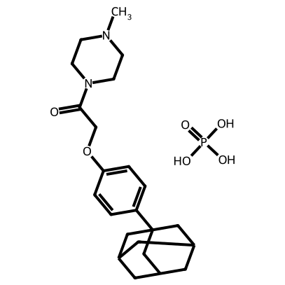 CN1CCN(C(=O)COc2ccc(C34CC5CC(CC(C5)C3)C4)cc2)CC1.O=P(O)(O)O